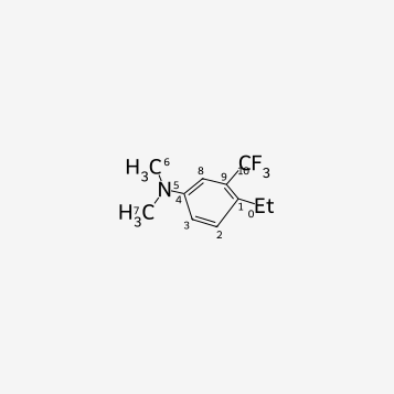 CCc1ccc(N(C)C)cc1C(F)(F)F